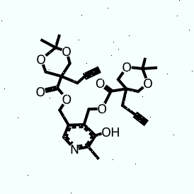 C#CCC1(C(=O)OCc2cnc(C)c(O)c2COC(=O)C2(CC#C)COC(C)(C)OC2)COC(C)(C)OC1